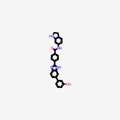 O=C(Nc1ccc2c(c1)NCC2)c1ccc(-c2nc3ccc(-c4cccc(O)c4)cc3[nH]2)cc1